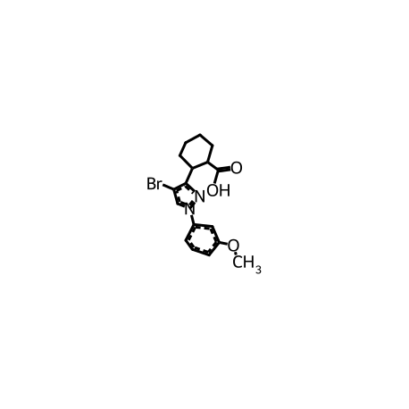 COc1cccc(-n2cc(Br)c(C3CCCCC3C(=O)O)n2)c1